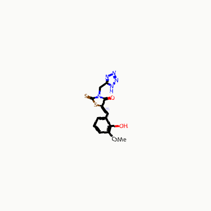 COc1cccc(/C=C2\SC(=S)N(Cc3nnn[nH]3)C2=O)c1O